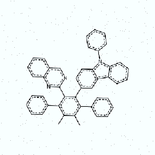 Cc1c(C)c(-c2ccccc2)c(-c2ncc3ccccc3n2)c(-c2ccc3c(c2)c2ccccc2n3-c2ccccc2)c1-c1ccccc1